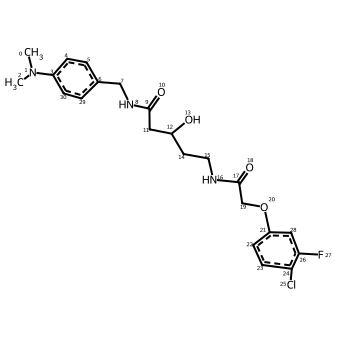 CN(C)c1ccc(CNC(=O)CC(O)CCNC(=O)COc2ccc(Cl)c(F)c2)cc1